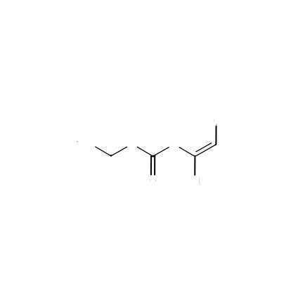 C/C=C(/C)OC(=O)OCOC(C)=O